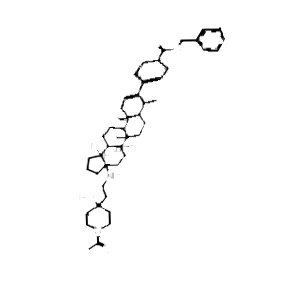 CC(=O)N1CCC(O)(CCNC23CCC[C@@H]2C2CCC4C5(C)CC=C(C6=CCC(C(=O)OCc7ccccc7)CC6)C(C)C5CCC4(C)[C@]2(C)CC3)CC1